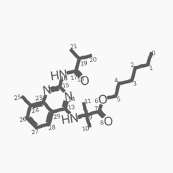 CCCCCCOC(=O)C(C)(C)Nc1nc(NC(=O)C(C)C)nc2c(C)cccc12